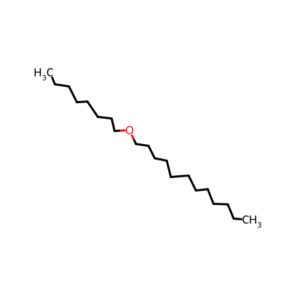 CCCCCCCCCCCCOCCCCCCCC